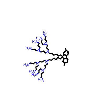 Cc1ccc2c(c1)C(CCCCCCN(CCCN(CCCN)CCCN)CCCN(CCCN)CCCN)(CCCCCCN(CCCN(CCCN)CCCN)CCCN(CCCN)CCCN)c1cc(C)ccc1-2